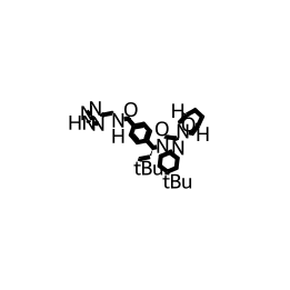 CC(C)(C)CC[C@H](c1ccc(C(=O)NCc2nn[nH]n2)cc1)N1C(=O)C(N2C[C@H]3CC[C@@H](C2)O3)=NC12CCC(C(C)(C)C)CC2